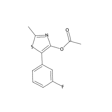 CC(=O)Oc1nc(C)sc1-c1cccc(F)c1